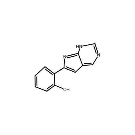 Oc1ccccc1-c1cc2cnc[nH]c-2n1